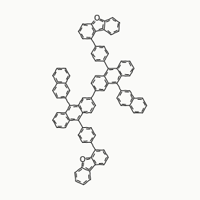 c1ccc2cc(-c3c4ccccc4c(-c4ccc(-c5cccc6c5oc5ccccc56)cc4)c4ccc(-c5ccc6c(-c7ccc(-c8cccc9oc%10ccccc%10c89)cc7)c7ccccc7c(-c7ccc8ccccc8c7)c6c5)cc34)ccc2c1